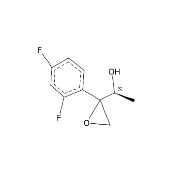 C[C@H](O)C1(c2ccc(F)cc2F)CO1